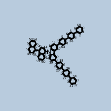 c1ccc(-c2ccc(-c3ccc(-c4ccc5c(c4)c4cc(-c6ccc(-c7ccc(-c8ccccc8)cc7)cc6)ccc4n5-c4ccc(-c5cccc6ccccc56)c5ccccc45)cc3)cc2)cc1